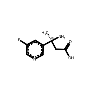 C[C@](N)(CC(=O)O)c1cncc(F)c1